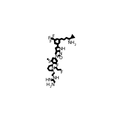 CSc1cc(-n2cc3cc(-c4cc(CCC[C@@H](N)C5CC5)cc(C(F)(F)F)c4)[nH]c3nc2=O)cc(F)c1[C@@H]1CCC[C@@H](CCNC(=N)CN)N1CCCF